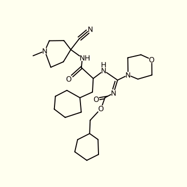 CN1CCC(C#N)(NC(=O)C(CC2CCCCC2)N/C(=N\C(=O)OCC2CCCCC2)N2CCOCC2)CC1